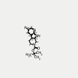 CC(C)(C)OC(=O)N1CCc2c([nH]c3ncc(F)cc23)C1